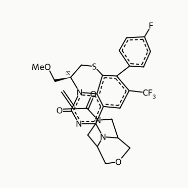 C=CC(=O)N1CC2COCC(C1)N2c1nc(=O)n2c3c(c(-c4ccc(F)cc4)c(C(F)(F)F)cc13)SC[C@@H]2COC